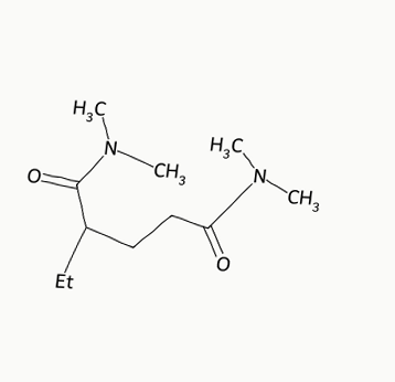 [CH2]CC(CCC(=O)N(C)C)C(=O)N(C)C